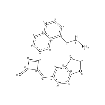 NNCc1ccnc2ccccc12.O=C1C=CC1=Cc1ccc2c(c1)OCO2